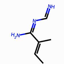 C/C=C(C)/C(N)=N\C=N